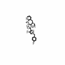 C=C[C@@H]1Cc2cccnc2N(C)C(=O)[C@@H]1NC(=O)c1nn(Cc2ccc(F)cc2)cc1F